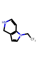 FC(F)(F)Cn1ccc2c1C=CNC2